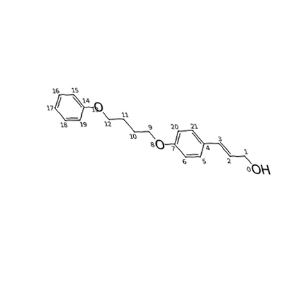 OC/C=C/c1ccc(OCCCCOc2ccccc2)cc1